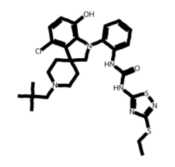 CCSc1nsc(NC(=O)Nc2ccccc2N2CC3(CCN(CC(C)(C)C)CC3)c3c(Cl)ccc(O)c32)n1